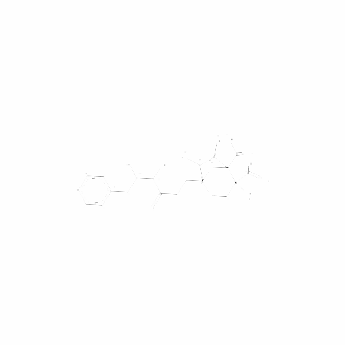 C=C(CCC12OCC(O)(C(=O)O)C(C(=O)O)(O1)C(O)C2O)C(O)C(C)Cc1ccccc1